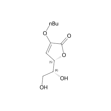 CCCCOC1=C[C@@H]([C@H](O)CO)OC1=O